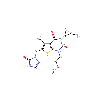 Cc1c(Cn2nc[nH]c2=O)sc2c1c(=O)n(C1CC1C)c(=O)n2CCOC(F)(F)F